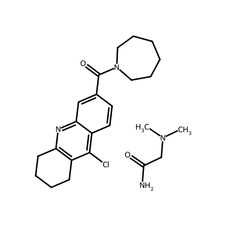 CN(C)CC(N)=O.O=C(c1ccc2c(Cl)c3c(nc2c1)CCCC3)N1CCCCCC1